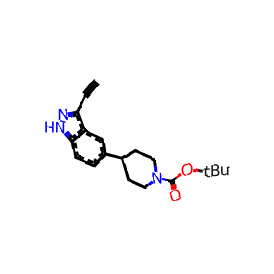 C#Cc1n[nH]c2ccc(C3CCN(C(=O)OC(C)(C)C)CC3)cc12